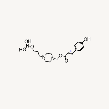 O=C(/C=C/c1ccc(O)cc1)OCN1CCN(CCCON(O)O)CC1